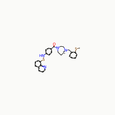 CSc1ccccc1CN1CCCN(C(=O)c2ccc(NSc3cccc4cccnc34)cc2)CC1